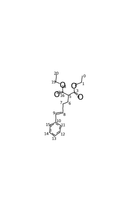 CCOC(=O)C(CCC=Cc1ccccc1)C(=O)OCC